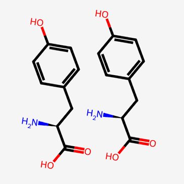 N[C@@H](Cc1ccc(O)cc1)C(=O)O.N[C@@H](Cc1ccc(O)cc1)C(=O)O